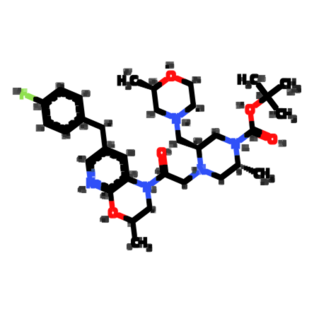 CC1CN(C(=O)CN2C[C@@H](C)N(C(=O)OC(C)(C)C)C[C@@H]2CN2CCO[C@H](C)C2)c2cc(Cc3ccc(F)cc3)cnc2O1